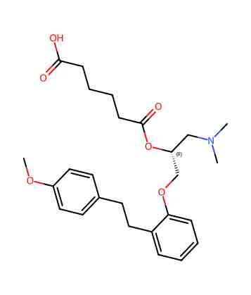 COc1ccc(CCc2ccccc2OC[C@@H](CN(C)C)OC(=O)CCCCC(=O)O)cc1